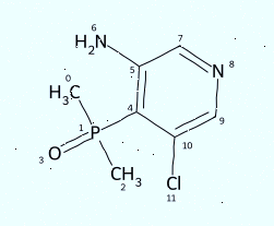 CP(C)(=O)c1c(N)cncc1Cl